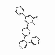 Cn1c(N2CCN(c3ccccc3-c3ccccc3)CC2)nc(-c2ccncn2)cc1=O